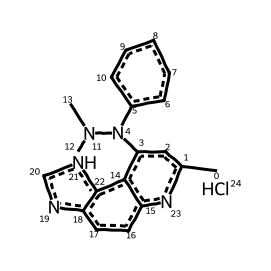 Cc1cc(N(c2ccccc2)N(C)C)c2c(ccc3nc[nH]c32)n1.Cl